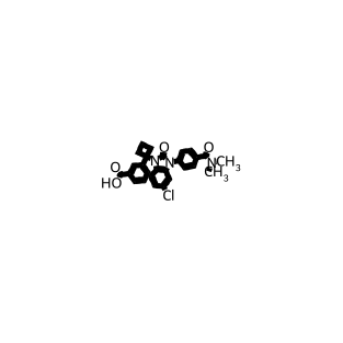 CN(C)C(=O)c1ccc(-n2c(=O)n(C3(c4cccc(C(=O)O)c4)CCC3)c3ccc(Cl)cc32)cc1